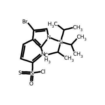 CC(C)[Si](C(C)C)(C(C)C)n1cc(Br)c2ccc(S(=O)(=S)Cl)nc21